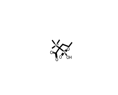 CCCC(C(=O)[O-])([N+](C)(C)C)S(=O)(=O)O